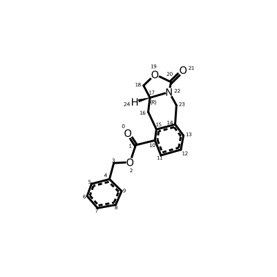 O=C(OCc1ccccc1)c1cccc2c1C[C@@H]1COC(=O)N1C2